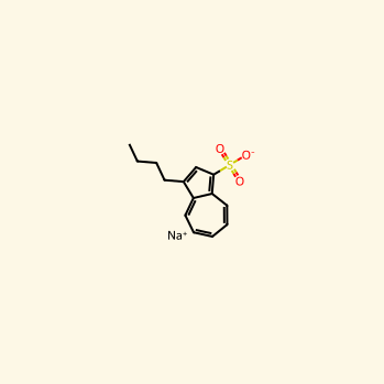 CCCCc1cc(S(=O)(=O)[O-])c2cccccc1-2.[Na+]